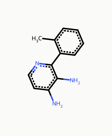 Cc1ccccc1-c1nccc(N)c1N